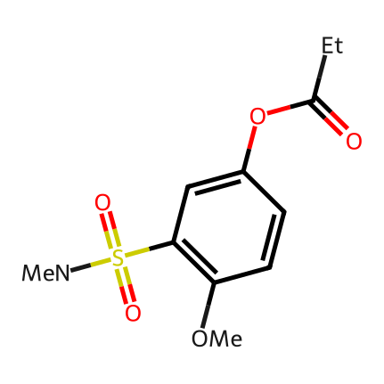 CCC(=O)Oc1ccc(OC)c(S(=O)(=O)NC)c1